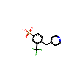 O=S(=O)(O)c1ccc(Cc2ccncc2)c(C(F)(F)F)c1